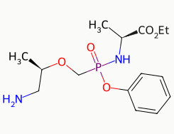 CCOC(=O)[C@H](C)NP(=O)(CO[C@H](C)CN)Oc1ccccc1